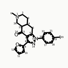 CN1CCC2Cc3c(c(-c4ccco4)nn3-c3ccc(I)cc3)C(=O)C2C1